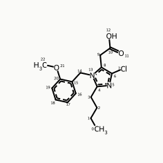 CCCCc1nc(Cl)c(CC(=O)O)n1Cc1ccccc1OC